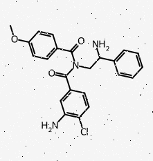 COc1ccc(C(=O)N(CC(N)c2ccccc2)C(=O)c2ccc(Cl)c(N)c2)cc1